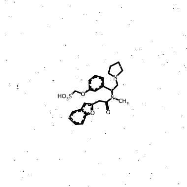 CN(C(=O)Cc1cc2ccccc2o1)C(CN1CCCC1)c1cccc(OCS(=O)(=O)O)c1